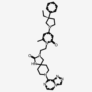 CC[C@@]1(c2ccccc2)CCN(c2cc(C)n(CCN3CC4(CCN(c5nccn6cnnc56)CC4)NC3=O)c(=O)c2)C1